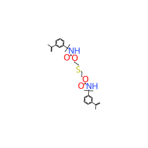 C=C(C)c1cccc(C(C)(C)NC(=O)OCCSCCOC(=O)NC(C)(C)c2cccc(C(=C)C)c2)c1